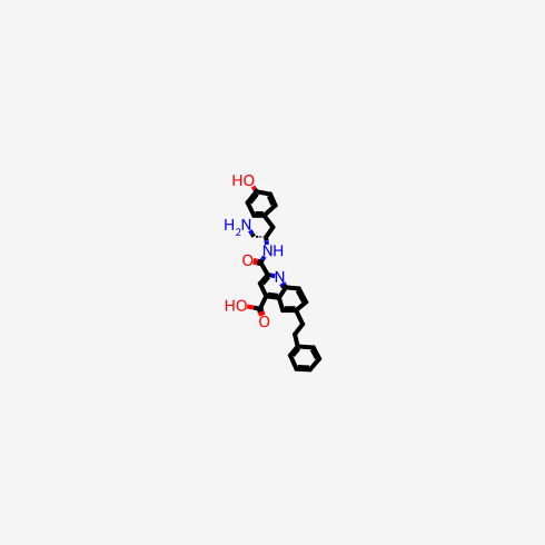 NC[C@H](Cc1ccc(O)cc1)NC(=O)c1cc(C(=O)O)c2cc(CCc3ccccc3)ccc2n1